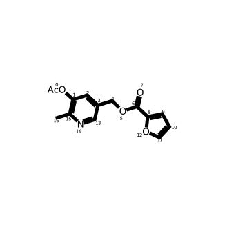 CC(=O)Oc1cc(COC(=O)c2ccco2)cnc1C